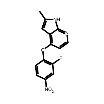 Cc1cc2c(Oc3ccc([N+](=O)[O-])cc3F)ccnc2[nH]1